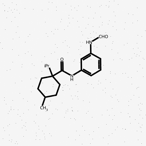 CC1CCC(C(=O)Nc2cccc(NC=O)c2)(C(C)C)CC1